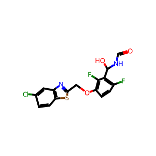 O=CNC(O)c1c(F)ccc(OCc2nc3cc(Cl)ccc3s2)c1F